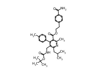 Cc1ccc(-c2c(CNC(=O)OC(C)(C)C)c(CC(C)C)nc(C)c2C(=O)OCCc2ccc(C(N)=O)cc2)cc1